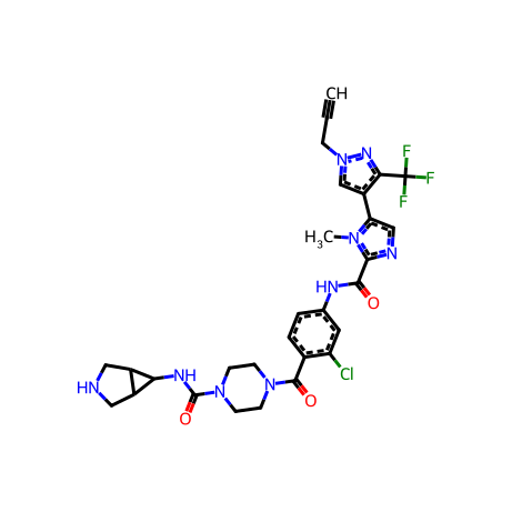 C#CCn1cc(-c2cnc(C(=O)Nc3ccc(C(=O)N4CCN(C(=O)NC5C6CNCC65)CC4)c(Cl)c3)n2C)c(C(F)(F)F)n1